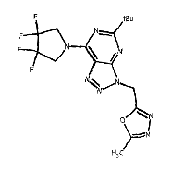 Cc1nnc(Cn2nnc3c(N4CC(F)(F)C(F)(F)C4)nc(C(C)(C)C)nc32)o1